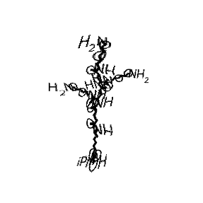 CC(C)P(=O)(O)OCCCCCCNC(=O)CCCC(=O)NC(CCC(=O)NC(CCC(=O)NCCOCCON)C(=O)NCCOCCON)C(=O)NCCOCCON